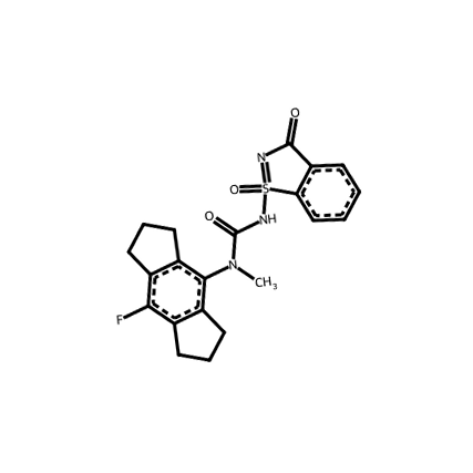 CN(C(=O)NS1(=O)=NC(=O)c2ccccc21)c1c2c(c(F)c3c1CCC3)CCC2